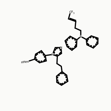 CCCCCCc1ccc(-n2cncc2CCc2ccccc2)cc1.FC(F)(F)C=CCCB(c1ccccc1)c1ccccc1